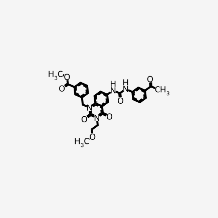 COCCn1c(=O)c2cc(NC(=O)Nc3cccc(C(C)=O)c3)ccc2n(Cc2cccc(C(=O)OC)c2)c1=O